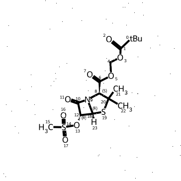 CC(C)(C)C(=O)OCOC(=O)[C@@H]1N2C(=O)[C@@H](OS(C)(=O)=O)[C@H]2SC1(C)C